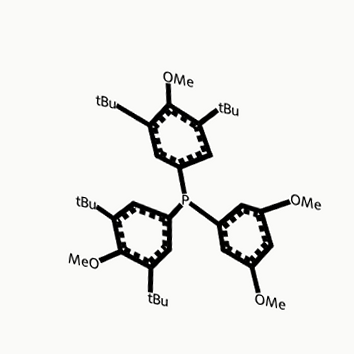 COc1cc(OC)cc(P(c2cc(C(C)(C)C)c(OC)c(C(C)(C)C)c2)c2cc(C(C)(C)C)c(OC)c(C(C)(C)C)c2)c1